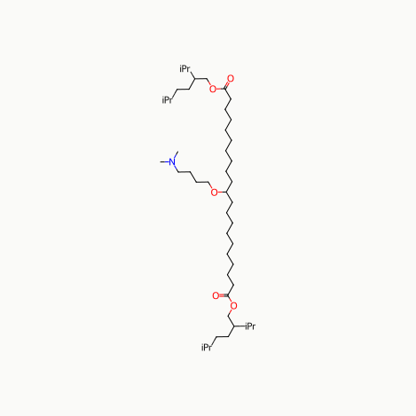 CC(C)CCC(COC(=O)CCCCCCCCCC(CCCCCCCCCC(=O)OCC(CCC(C)C)C(C)C)OCCCCN(C)C)C(C)C